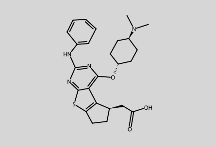 CN(C)[C@H]1CC[C@H](Oc2nc(Nc3ccccc3)nc3sc4c(c23)[C@@H](CC(=O)O)CC4)CC1